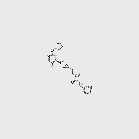 O=C(/C=C/c1cccnc1)NCCC1C2CN(c3nc(OC4CCCC4)ncc3F)CC12